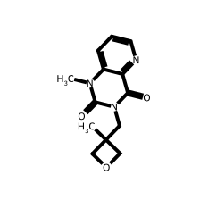 Cn1c(=O)n(CC2(C)COC2)c(=O)c2ncccc21